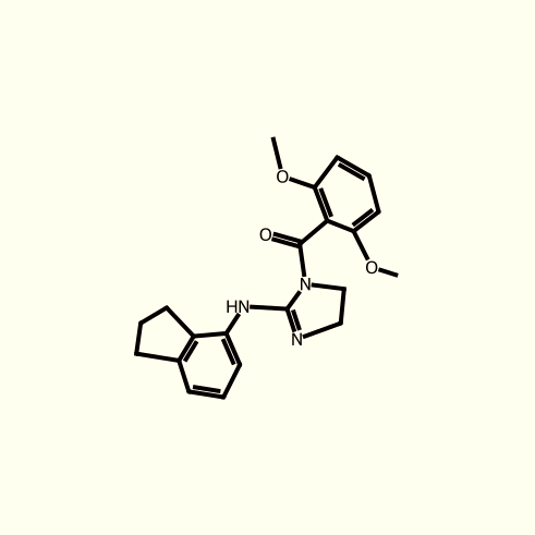 COc1cccc(OC)c1C(=O)N1CCN=C1Nc1cccc2c1CCC2